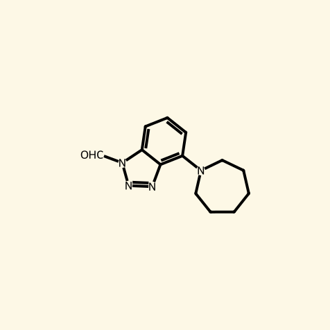 O=Cn1nnc2c(N3CCCCCC3)cccc21